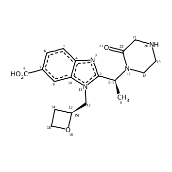 C[C@@H](c1nc2ccc(C(=O)O)cc2n1C[C@@H]1CCO1)N1CCNCC1=O